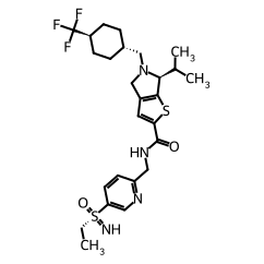 CC[S@](=N)(=O)c1ccc(CNC(=O)c2cc3c(s2)[C@H](C(C)C)N(C[C@H]2CC[C@H](C(F)(F)F)CC2)C3)nc1